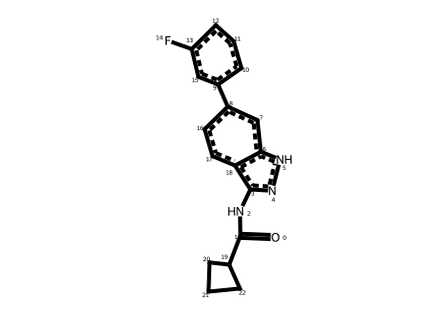 O=C(Nc1n[nH]c2cc(-c3cccc(F)c3)ccc12)C1CCC1